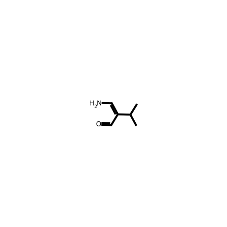 CC(C)C(C=O)=CN